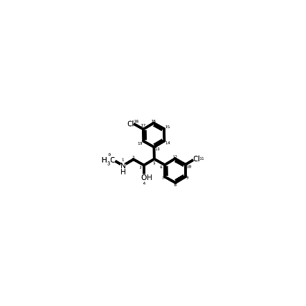 CNCC(O)C(c1cccc(Cl)c1)c1cccc(Cl)c1